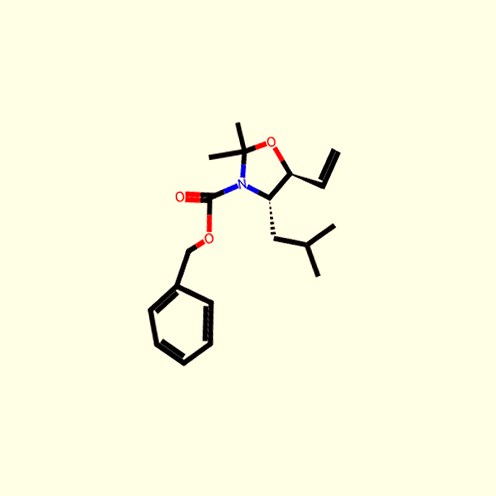 C=C[C@@H]1OC(C)(C)N(C(=O)OCc2ccccc2)[C@H]1CC(C)C